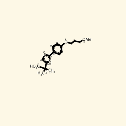 COCCCOc1ccc(-c2nc(C(C)(C)C(=O)O)cs2)cc1